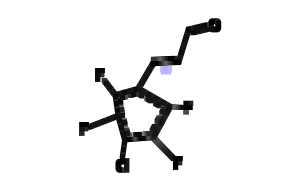 O=C/C=C/c1c(F)c(F)c(Cl)c(F)c1F